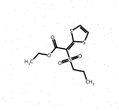 CCCS(=O)(=O)C(C(=O)OCC)=C1SC=CS1